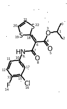 CC(C)OC(=O)C(C(=O)Nc1ccc(F)c(Cl)c1)=C1SC=CS1